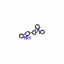 CC1(n2c3ccccc3c3cc(-c4ccc5c(c4)[nH]c4ccccc45)ccc32)C=CC=CC1